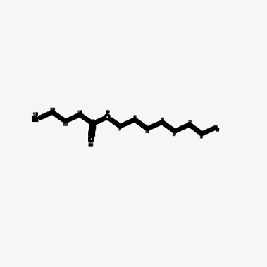 CCCCCCCCOC(=O)CCCBr